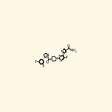 NC(=O)c1cnn(-c2nc(N3CCN(C(=O)N4N=CC[C@H]4c4cc(F)cc(F)c4)CC3)ncc2F)c1